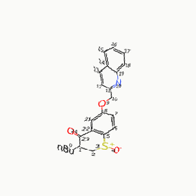 CCCCC1C[S+]([O-])c2ccc(OCc3ccc4ccccc4n3)cc2C1=O